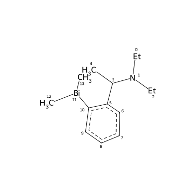 CCN(CC)C(C)c1cccc[c]1[Bi]([CH3])[CH3]